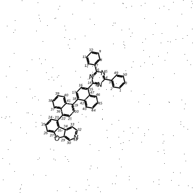 c1ccc(-c2nc(-c3ccccc3)nc(-c3ccc(-c4ccc(-c5cccc6oc7cnccc7c56)c5ccccc45)c4ccccc34)n2)cc1